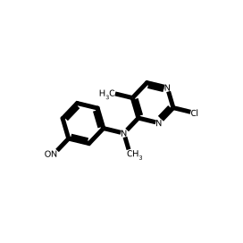 Cc1cnc(Cl)nc1N(C)c1cccc(N=O)c1